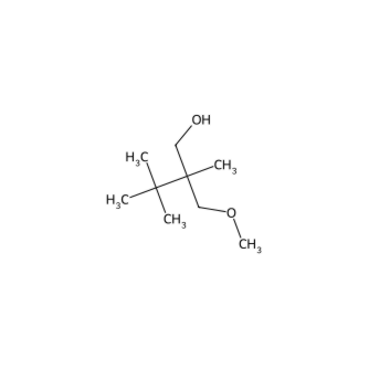 COCC(C)(CO)C(C)(C)C